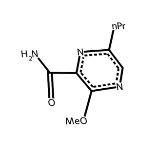 CCCc1cnc(OC)c(C(N)=O)n1